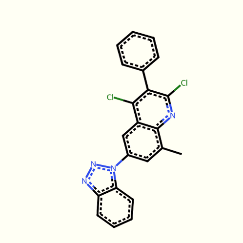 Cc1cc(-n2nnc3ccccc32)cc2c(Cl)c(-c3ccccc3)c(Cl)nc12